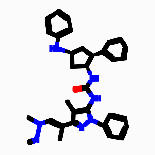 C=NN(C)/C=C(\C)c1nn(-c2ccccc2)c(NC(=O)N[C@@H]2C[C@@H](Nc3ccccc3)C[C@H]2c2ccccc2)c1C